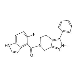 Cn1nc2c(c1-c1ccccc1)CCN(C(=O)c1c(F)ccc3[nH]ccc13)C2